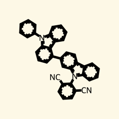 N#Cc1cccc(C#N)c1-n1c2ccccc2c2ccc(-c3cccc4c3c3ccccc3n4-c3ccccc3)cc21